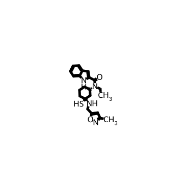 CCN(C(=O)c1cc2ccccc2[nH]1)[C@H]1CCCC(S)(NCc2cc(C)no2)C1